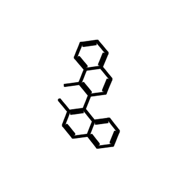 Cc1ccc2ccccc2c1-c1ccc2ccccc2c1C